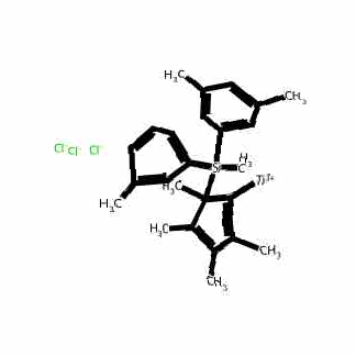 CC1=C(C)C(C)([Si](C)(c2cccc(C)c2)c2cc(C)cc(C)c2)[C]([Ti+3])=C1C.[Cl-].[Cl-].[Cl-]